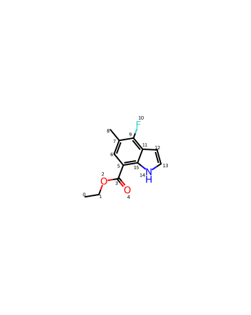 CCOC(=O)c1cc(C)c(F)c2cc[nH]c12